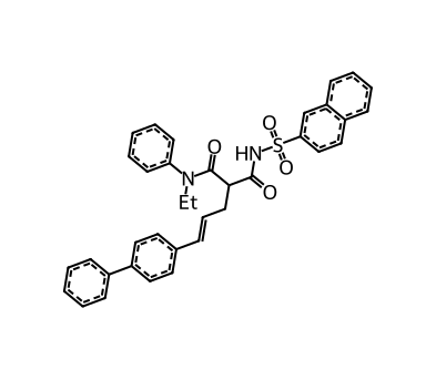 CCN(C(=O)C(CC=Cc1ccc(-c2ccccc2)cc1)C(=O)NS(=O)(=O)c1ccc2ccccc2c1)c1ccccc1